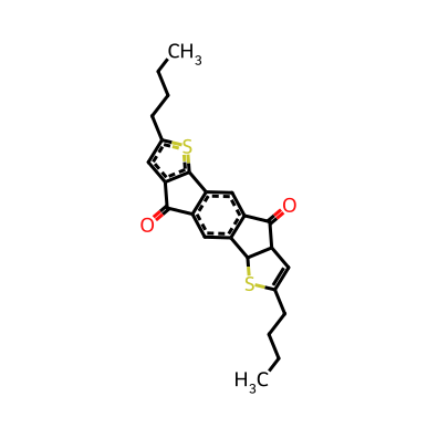 CCCCC1=CC2C(=O)c3cc4c(cc3C2S1)C(=O)c1cc(CCCC)sc1-4